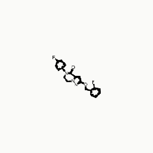 O=C1c2cc(OCc3ccccc3F)nn2CCN1c1ccc(F)cc1